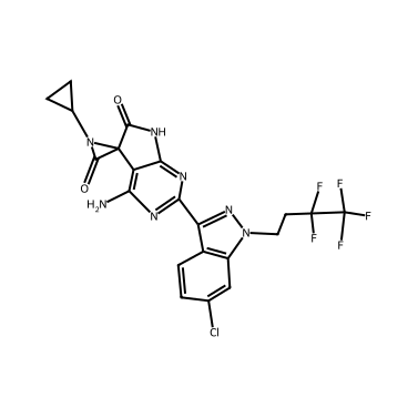 Nc1nc(-c2nn(CCC(F)(F)C(F)(F)F)c3cc(Cl)ccc23)nc2c1C1(C(=O)N2)C(=O)N1C1CC1